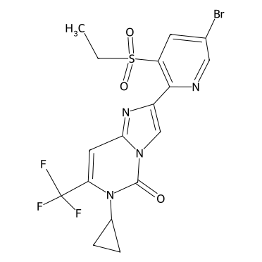 CCS(=O)(=O)c1cc(Br)cnc1-c1cn2c(=O)n(C3CC3)c(C(F)(F)F)cc2n1